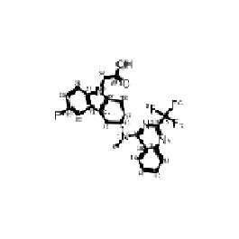 CN(c1nc(C(F)(F)F)nc2ccccc12)[C@H]1CCc2c(c3cc(F)ccc3n2CC(=O)O)C1